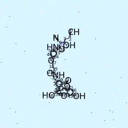 C#CCC/C(O)=C(\C#N)C(=O)Nc1ccc(OCCCC(=O)NCc2ccc3c(c2)C(=O)OC32c3ccc(O)cc3Oc3cc(O)ccc32)cc1